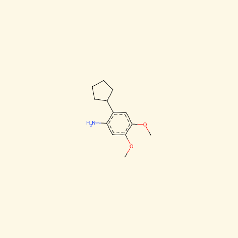 COc1cc(N)c(C2CCCC2)cc1OC